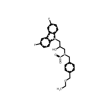 CCOCc1ccc(CN(CC(O)Cn2c3ccc(F)cc3c3cc(F)ccc32)[SH](=O)=O)cc1